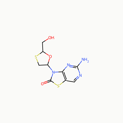 Nc1ncc2sc(=O)n(C3CSC(CO)O3)c2n1